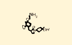 CC1(O)CCC(N2CCC(Cc3ccc(OCCN)cc3Cl)C2=O)CC1